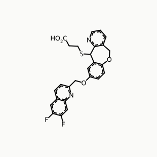 O=C(O)CCSC1c2cc(OCc3ccc4cc(F)c(F)cc4n3)ccc2OCc2cccnc21